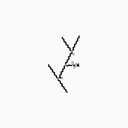 CCCCCCCCCCN(CCCCCCCCCC)C(=O)CCCCCCCN(CCCCCCCC(=O)N(CCCCCCCCCC)CCCCCCCCCC)CCCNC(=O)OC(C)(C)C